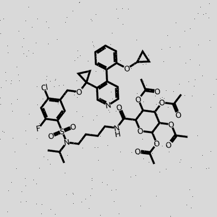 CC(=O)OC1OC(C(=O)NCCCCN(C(C)C)S(=O)(=O)c2cc(COC3(c4cnccc4-c4ccccc4OC4CC4)CC3)c(Cl)cc2F)C(OC(C)=O)C(OC(C)=O)C1OC(C)=O